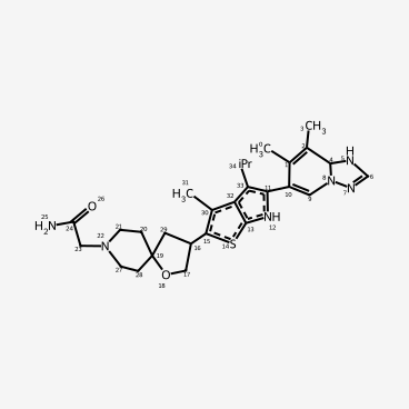 CC1=C(C)C2NC=NN2C=C1c1[nH]c2sc(C3COC4(CCN(CC(N)=O)CC4)C3)c(C)c2c1C(C)C